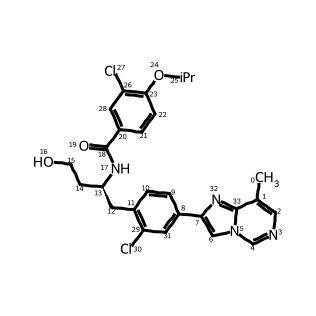 Cc1cncn2cc(-c3ccc(C[C@@H](CCO)NC(=O)c4ccc(OC(C)C)c(Cl)c4)c(Cl)c3)nc12